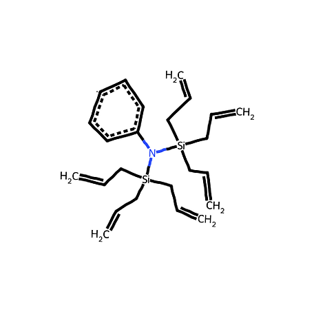 C=CC[Si](CC=C)(CC=C)N(c1cc[c]cc1)[Si](CC=C)(CC=C)CC=C